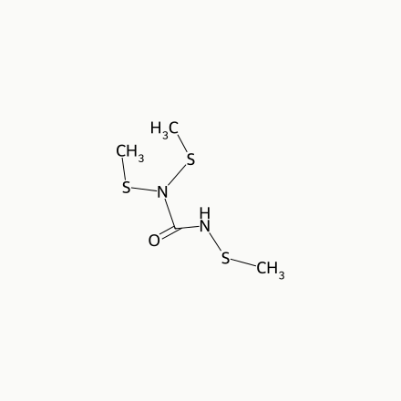 CSNC(=O)N(SC)SC